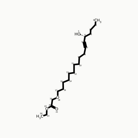 CCCC[C@@H](O)C#CCCCCCCCCCCOCC(=O)OCC